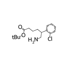 CC(C)(C)OC(=O)CCCC(CN)c1ccccc1Cl